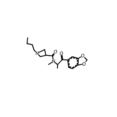 CCCCN1CC(C(=O)N(C)C(C)C(=O)c2ccc3c(c2)OCO3)C1